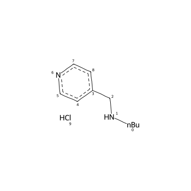 CCCCNCc1ccncc1.Cl